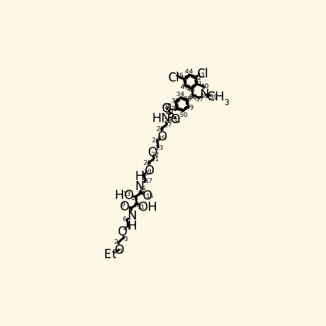 CCOCCOCCNC(=O)C(O)C(O)C(=O)NCCOCCOCCOCCNS(=O)(=O)c1ccc([C@H]2CN(C)Cc3c(Cl)cc(Cl)cc32)cc1